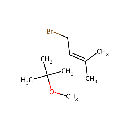 CC(C)=CCBr.COC(C)(C)C